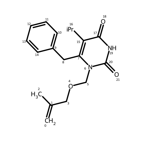 C=C(C)COCn1c(Cc2ccccc2)c(C(C)C)c(=O)[nH]c1=O